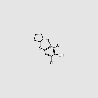 Oc1c(Cl)cc(SC2CCCC2)c(Cl)c1Cl